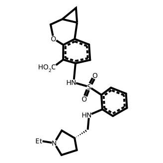 CCN1CC[C@@H](CNc2ccccc2S(=O)(=O)Nc2ccc3c(c2C(=O)O)OCC2CC32)C1